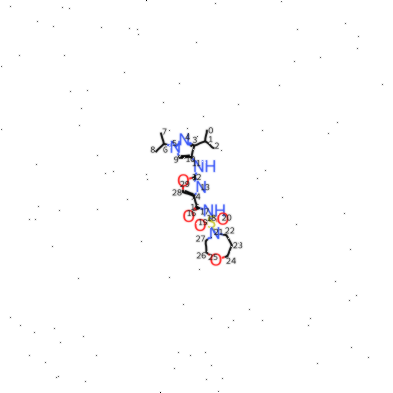 CC(C)c1nn(C(C)C)cc1Nc1nc(C(=O)NS(=O)(=O)N2CCCOCC2)co1